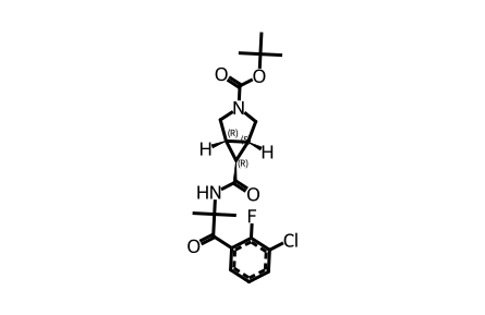 CC(C)(C)OC(=O)N1C[C@@H]2[C@H](C1)[C@H]2C(=O)NC(C)(C)C(=O)c1cccc(Cl)c1F